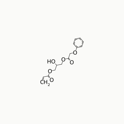 C=CC(=O)OCC(O)COC(=O)COc1ccccc1